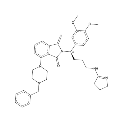 COc1ccc([C@@H](CCCNC2=NCCC2)N2C(=O)c3cccc(N4CCN(Cc5ccccc5)CC4)c3C2=O)cc1OC